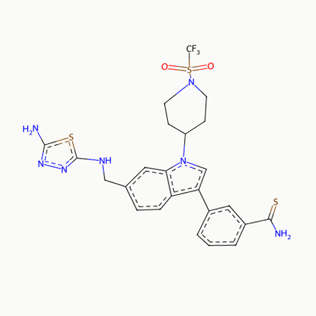 NC(=S)c1cccc(-c2cn(C3CCN(S(=O)(=O)C(F)(F)F)CC3)c3cc(CNc4nnc(N)s4)ccc23)c1